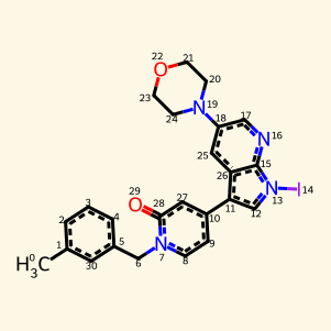 Cc1cccc(Cn2ccc(-c3cn(I)c4ncc(N5CCOCC5)cc34)cc2=O)c1